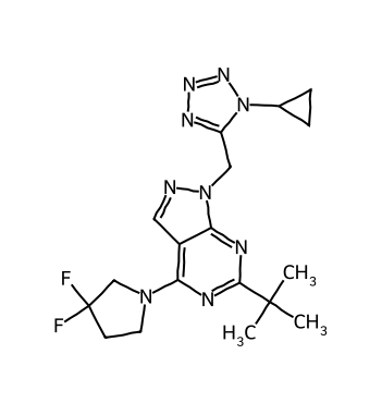 CC(C)(C)c1nc(N2CCC(F)(F)C2)c2cnn(Cc3nnnn3C3CC3)c2n1